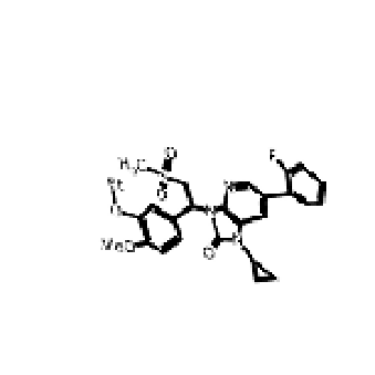 CCOc1cc(C(CS(C)(=O)=O)n2c(=O)n(C3CC3)c3cc(-c4ccccc4F)cnc32)ccc1OC